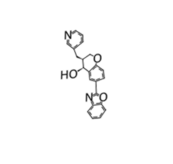 O[C@@H]1c2cc(-c3nc4ccccc4o3)ccc2OC[C@@H]1Cc1cccnc1